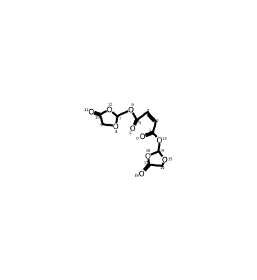 O=C(/C=C\C(=O)OC1OCC(=O)O1)OC1OCC(=O)O1